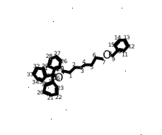 [CH](CCCCCCCOCc1ccccc1)OC(c1ccccc1)(c1ccccc1)c1ccccc1